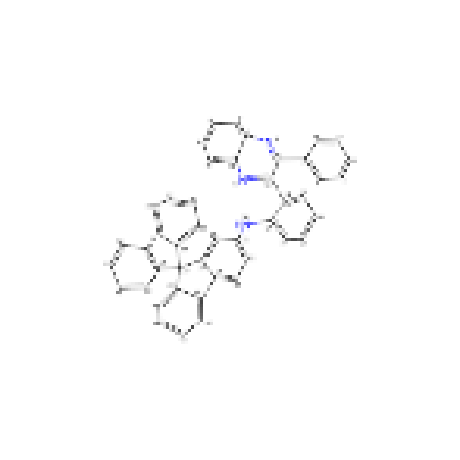 c1ccc(-c2nc3ccccc3nc2-c2ccccc2Nc2ccc3c(c2)C(c2ccccc2)(c2ccccc2)c2ccccc2-3)cc1